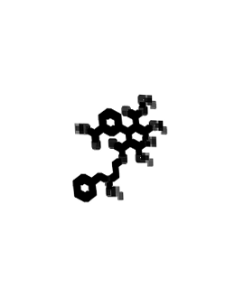 COC(=O)C1=C(C)NC(C)=C(C(=O)OCCN(C)Cc2ccccc2)C1c1cccc(C(=O)O)c1